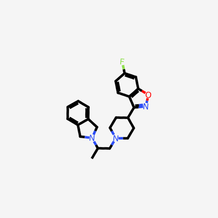 CC(CN1CCC(c2noc3cc(F)ccc23)CC1)N1Cc2ccccc2C1